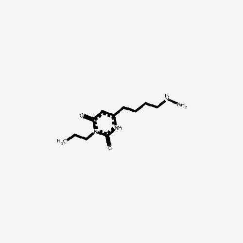 CCCn1c(=O)cc(CCCCNN)[nH]c1=O